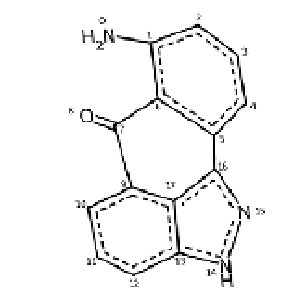 Nc1cccc2c1C(=O)c1cccc3[nH]nc-2c13